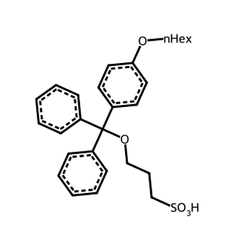 CCCCCCOc1ccc(C(OCCCS(=O)(=O)O)(c2ccccc2)c2ccccc2)cc1